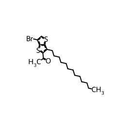 CCCCCCCCCCCCCc1c(C(C)=O)sc2c(Br)csc12